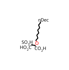 CCCCCCCCCCCCCCCCCCOC(C(=O)O)C(C(=O)O)S(=O)(=O)O